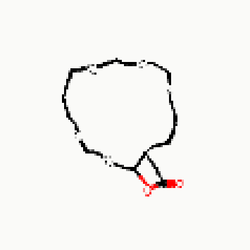 O=C1OC2CCCCCCCCCCCCCC12